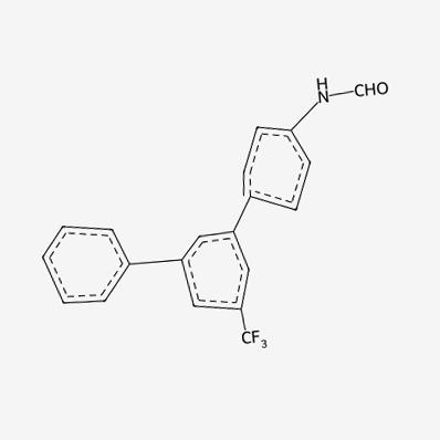 O=CNc1ccc(-c2cc(-c3ccccc3)cc(C(F)(F)F)c2)cc1